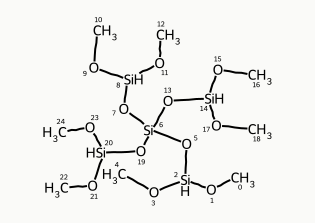 CO[SiH](OC)O[Si](O[SiH](OC)OC)(O[SiH](OC)OC)O[SiH](OC)OC